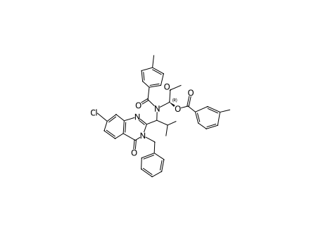 CC(=O)[C@@H](OC(=O)c1cccc(C)c1)N(C(=O)c1ccc(C)cc1)C(c1nc2cc(Cl)ccc2c(=O)n1Cc1ccccc1)C(C)C